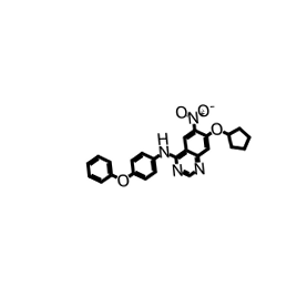 O=[N+]([O-])c1cc2c(Nc3ccc(Oc4ccccc4)cc3)ncnc2cc1OC1CCCC1